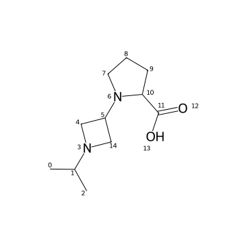 CC(C)N1CC(N2CCCC2C(=O)O)C1